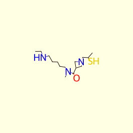 CCNCCCCCN(C)C(=O)C1CN(CC(C)S)C1